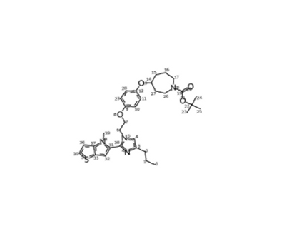 CCCc1cn(CCOc2ccc(OC3CCCN(C(=O)OC(C)(C)C)CC3)cc2)c(-c2cc3sccc3n2C)n1